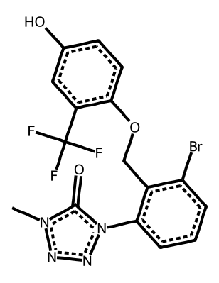 Cn1nnn(-c2cccc(Br)c2COc2ccc(O)cc2C(F)(F)F)c1=O